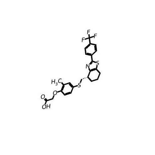 Cc1cc(SC[C@H]2CCCc3sc(-c4ccc(C(F)(F)F)cc4)nc32)ccc1OCC(=O)O